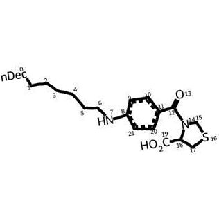 CCCCCCCCCCCCCCCCNc1ccc(C(=O)N2CSCC2C(=O)O)cc1